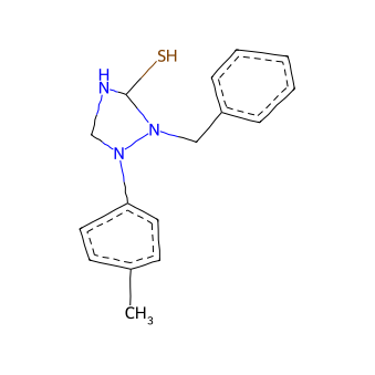 Cc1ccc(N2CNC(S)N2Cc2ccccc2)cc1